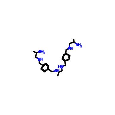 CC(N)CNCc1ccc(CNCC(C)NCc2ccc(CNCC(C)N)cc2)cc1